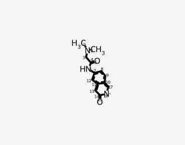 CN(C)CC(=O)Nc1ccc2c(c1)=CC(=O)[N]C=2